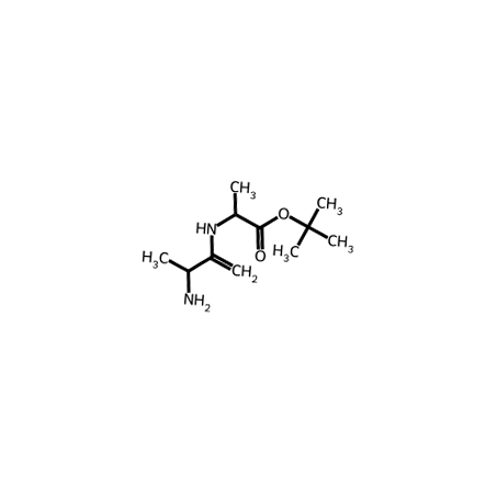 C=C(NC(C)C(=O)OC(C)(C)C)C(C)N